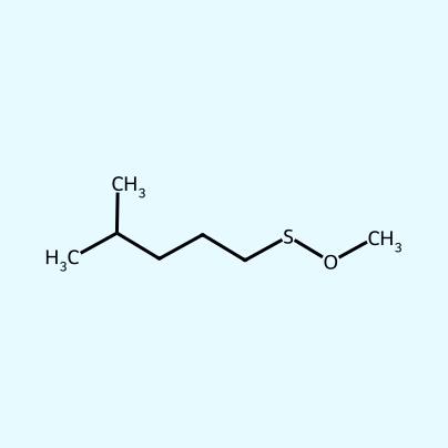 COSCCCC(C)C